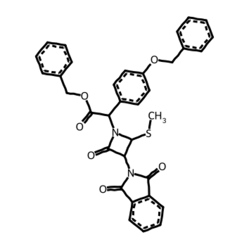 CSC1C(N2C(=O)c3ccccc3C2=O)C(=O)N1C(C(=O)OCc1ccccc1)c1ccc(OCc2ccccc2)cc1